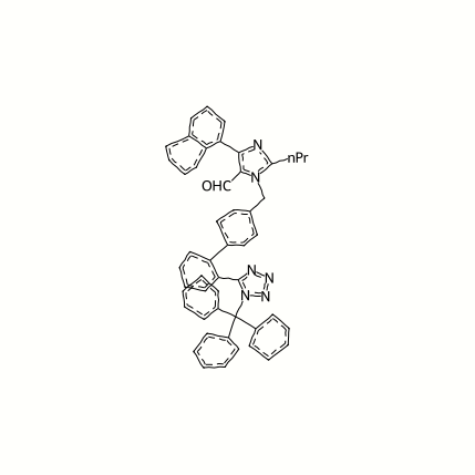 CCCc1nc(-c2cccc3ccccc23)c(C=O)n1Cc1ccc(-c2ccccc2-c2nnnn2C(c2ccccc2)(c2ccccc2)c2ccccc2)cc1